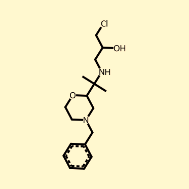 CC(C)(NCC(O)CCl)C1CN(Cc2ccccc2)CCO1